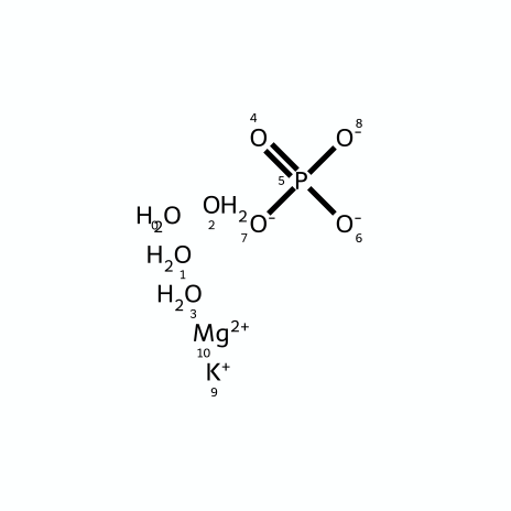 O.O.O.O.O=P([O-])([O-])[O-].[K+].[Mg+2]